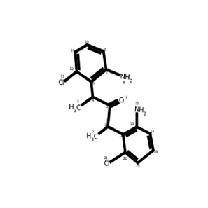 CC(C(=O)C(C)c1c(N)cccc1Cl)c1c(N)cccc1Cl